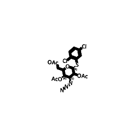 CC(=O)OCC1O[C@H](Sc2cc(Cl)ccc2Cl)C(OC(C)=O)[C@@H](N=[N+]=[N-])[C@H]1OC(C)=O